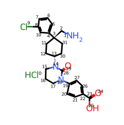 Cl.NC[C@]1(c2cccc(Cl)c2)CC[C@@H](N2CCCN(c3ccc(C(=O)O)cc3)C2=O)CC1